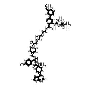 CCc1cccc(-c2cnc(C(=O)NCCOCCNCC(=O)N3CCN(CC[C@H](NC(=O)C4(N)CCN(c5ncnc6[nH]ccc56)CC4)c4ccc(Cl)cc4)CC3)c(NC(=O)OC(C)(C)C)c2)c1